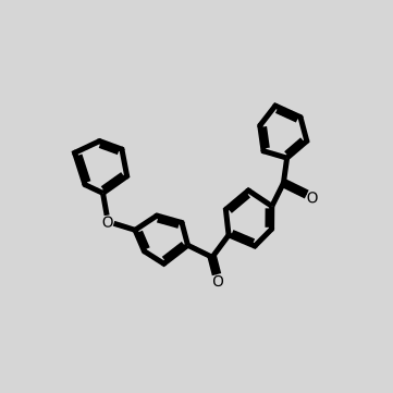 O=C(c1ccccc1)c1ccc(C(=O)c2ccc(Oc3ccccc3)cc2)cc1